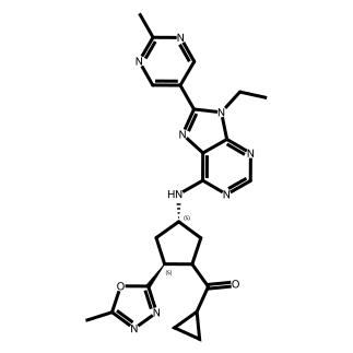 CCn1c(-c2cnc(C)nc2)nc2c(N[C@@H]3CC(C(=O)C4CC4)[C@@H](c4nnc(C)o4)C3)ncnc21